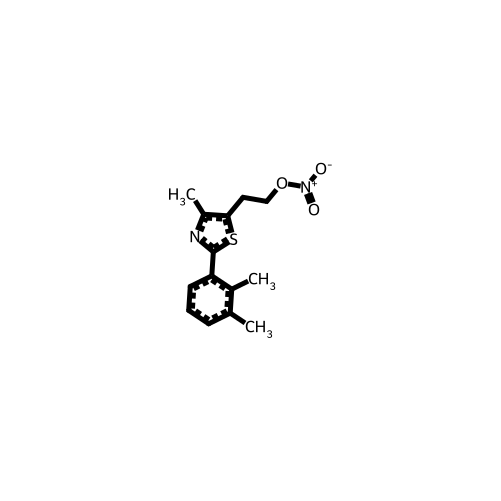 Cc1cccc(-c2nc(C)c(CCO[N+](=O)[O-])s2)c1C